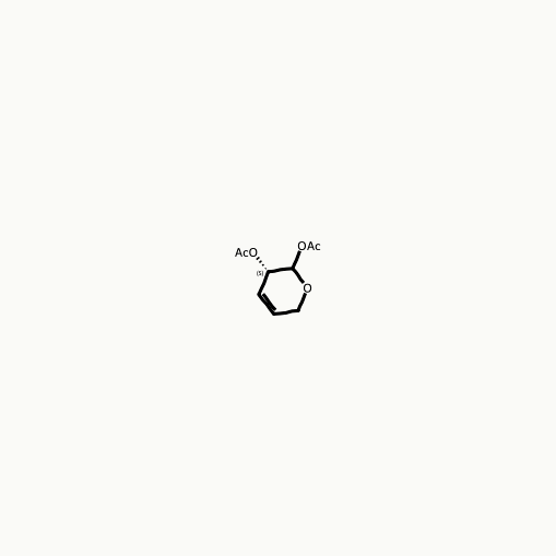 CC(=O)OC1OCC=C[C@@H]1OC(C)=O